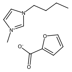 CCCCn1cc[n+](C)c1.O=C([O-])c1ccco1